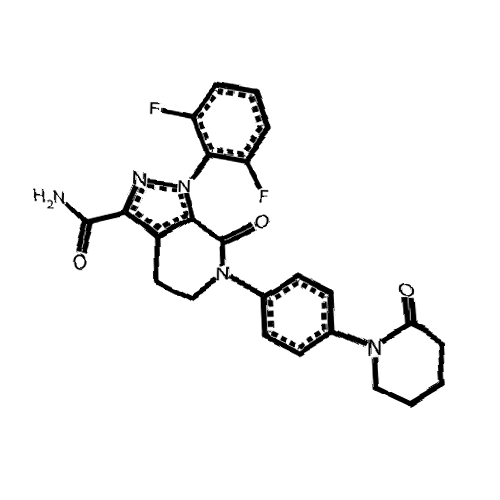 NC(=O)c1nn(-c2c(F)cccc2F)c2c1CCN(c1ccc(N3CCCCC3=O)cc1)C2=O